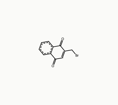 O=C1[C]=C(CBr)C(=O)c2ccccc21